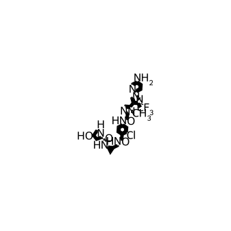 Cn1c(-c2cn(-c3ccc(N)cn3)nc2C(F)(F)F)cnc1C(=O)Nc1ccc(C(=O)NCC2CC2NC(=O)[C@@H]2C[C@@H](O)CN2)c(Cl)c1